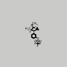 COC(=O)[C@@](C)(F)[C@H](c1cccc(OS(=O)(=O)C(F)(F)F)c1)C1CC1